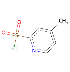 Cc1ccnc(S(=O)(=O)Cl)c1